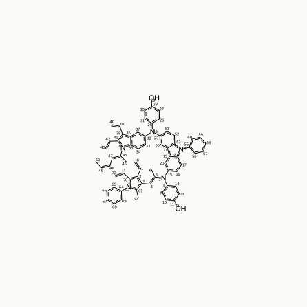 C=Cc1c(/C=C(\C)N(c2ccc(O)cc2)c2ccc3c(c2)c2cc(N(c4ccc(O)cc4)c4ccc5c(c4)c(C=C)c(C=C)n5/C(C)=C/C=C\C)ccc2n3-c2ccccc2)c(C)n(-c2ccccc2)c1C=C